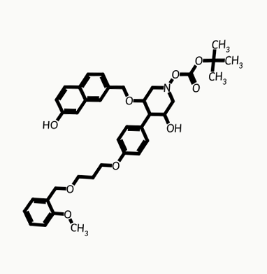 COc1ccccc1COCCCOc1ccc(C2C(O)CN(OC(=O)OC(C)(C)C)CC2OCc2ccc3ccc(O)cc3c2)cc1